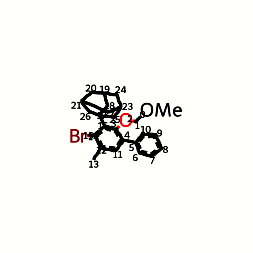 COCOc1c(-c2ccccc2)cc(C)c(Br)c1C12CC3CC(CC(C3)C1)C2